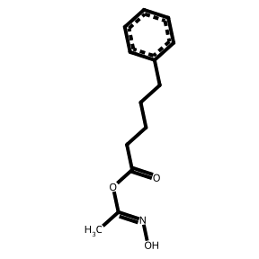 CC(=NO)OC(=O)CCCCc1ccccc1